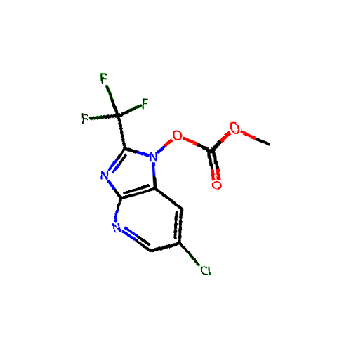 COC(=O)On1c(C(F)(F)F)nc2ncc(Cl)cc21